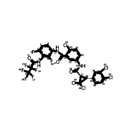 O=C(Nc1ccc(F)c(NC(=O)C(F)(F)C(F)(F)F)c1F)c1cc(NC(=O)[C@H]2[C@H](c3ccc(Cl)c(Cl)c3)C2(Cl)Cl)ccc1Cl